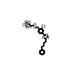 CCc1cc(-c2noc(CCCCc3ccccc3)n2)ccc1CNCCCP(=O)(O)O